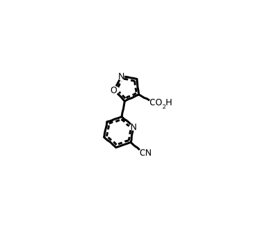 N#Cc1cccc(-c2oncc2C(=O)O)n1